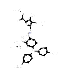 CCCCc1ccc(N(c2ccc(CCCC)cc2)c2ccc(/N=N/c3sc(C(=O)OCCC)c(C#N)c3C(=O)OCC)c(NS(=O)(=O)C(F)(F)F)c2)cc1